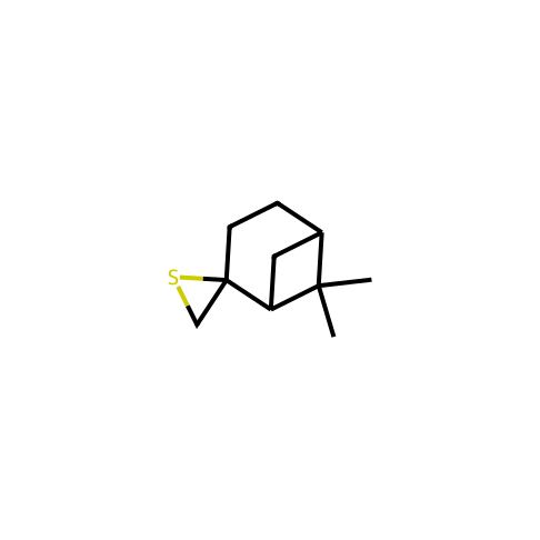 CC1(C)C2CCC3(CS3)C1C2